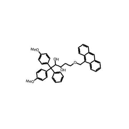 COc1ccc(C(c2ccccc2)(c2ccc(OC)cc2)C(O)C(O)CCOCc2c3ccccc3cc3ccccc23)cc1